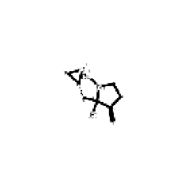 C=C1CCN(C(C)(C)C)C1(CC)C[C@@H]1CO1